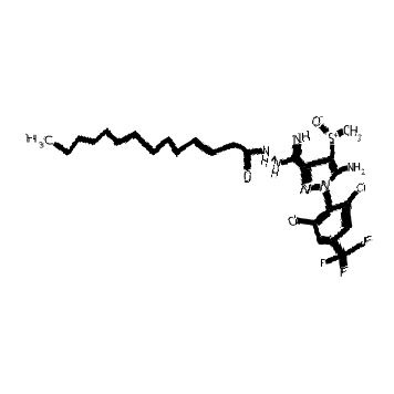 CCCCCCCCCCCCCC(=O)NNC(=N)c1nn(-c2c(Cl)cc(C(F)(F)F)cc2Cl)c(N)c1[S+](C)[O-]